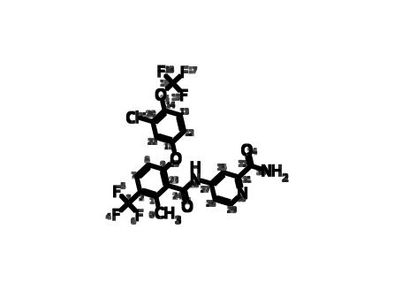 Cc1c(C(F)(F)F)ccc(Oc2ccc(OC(F)(F)F)c(Cl)c2)c1C(=O)Nc1ccnc(C(N)=O)c1